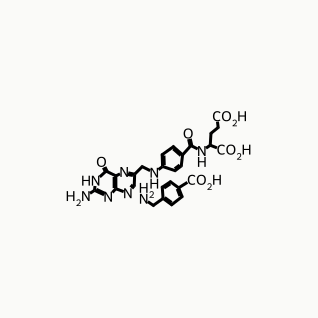 NCc1ccc(C(=O)O)cc1.Nc1nc2ncc(CNc3ccc(C(=O)NC(CCC(=O)O)C(=O)O)cc3)nc2c(=O)[nH]1